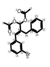 CC(=O)OC(OC(C)=O)/C(=C/c1cccc(Br)c1)Cc1ccccc1